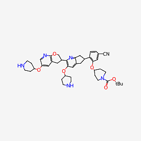 CC(C)(C)OC(=O)N1CCC(Oc2cc(C#N)ccc2C2Cc3cc(OC4CCNCC4)c(C4COc5ncc(OC6CCNCC6)cc5C4)nc3C2)CC1